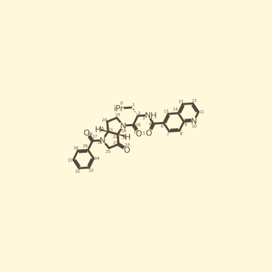 CC(C)C[C@H](NC(=O)c1ccc2ncccc2c1)C(=O)N1CC[C@@H]2[C@H]1C(=O)CN2C(=O)c1ccccc1